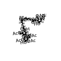 CC(=O)OCC1O[C@@H](N=[N+]=[N-])[C@@H](C)C(O)[C@@H]1OCC(=O)NCCCC[C@H](NC(=O)[C@@H](C)CSCC(=O)N[C@@H]1OC(COC(C)=O)[C@@H](O[C@@H]2OC(COC(C)=O)[C@H](OC(C)=O)C(O)[C@@H]2OC(C)=O)C(O)[C@@H]1C)C(C)=O